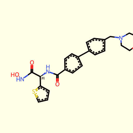 O=C(N[C@H](C(=O)NO)c1cccs1)c1ccc(-c2ccc(CN3CCOCC3)cc2)cc1